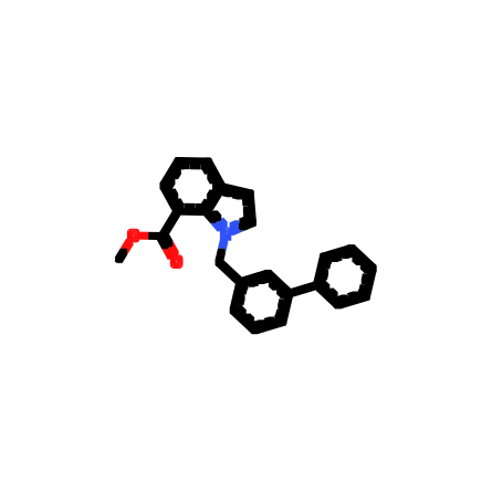 COC(=O)c1cccc2ccn(Cc3cccc(-c4ccccc4)c3)c12